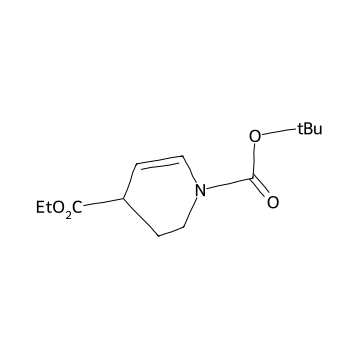 CCOC(=O)C1C=CN(C(=O)OC(C)(C)C)CC1